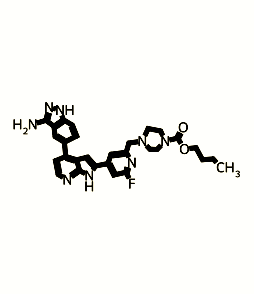 CCCCOC(=O)N1CCN(Cc2cc(-c3cc4c(-c5ccc6[nH]nc(N)c6c5)ccnc4[nH]3)cc(F)n2)CC1